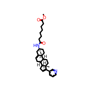 COC(=O)CCCCCCC(=O)N[C@H]1CC[C@@]2(C)C(=CC[C@@H]3[C@@H]2CC[C@]2(C)C(c4cccnc4)=CC[C@@H]32)C1